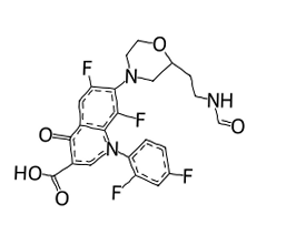 O=CNCCC1CN(c2c(F)cc3c(=O)c(C(=O)O)cn(-c4ccc(F)cc4F)c3c2F)CCO1